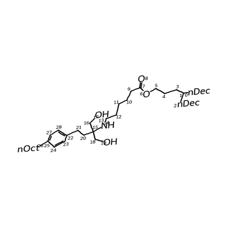 CCCCCCCCCCC(CCCCCCCCCC)CCCOC(=O)CCCCCNC(CO)(CO)CCc1ccc(CCCCCCCC)cc1